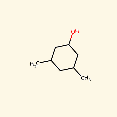 CC1CC(C)CC(O)C1